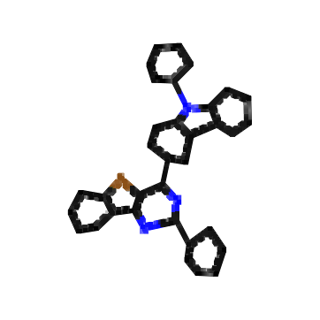 c1ccc(-c2nc(-c3ccc4c(c3)c3ccccc3n4-c3ccccc3)c3sc4ccccc4c3n2)cc1